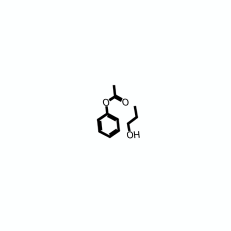 CC(=O)Oc1ccccc1.CCCO